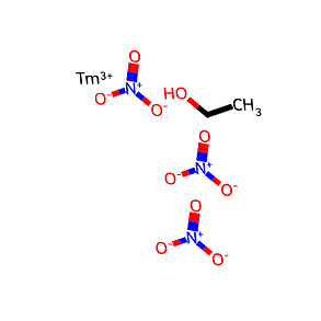 CCO.O=[N+]([O-])[O-].O=[N+]([O-])[O-].O=[N+]([O-])[O-].[Tm+3]